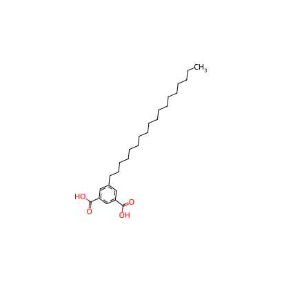 CCCCCCCCCCCCCCCCCCc1cc(C(=O)O)cc(C(=O)O)c1